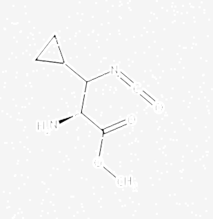 COC(=O)[C@@H](N)C(N=C=O)C1CC1